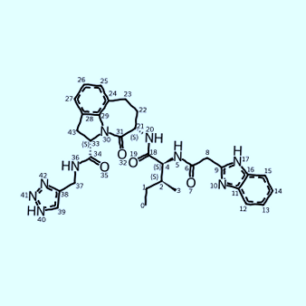 CC[C@H](C)[C@H](NC(=O)Cc1nc2ccccc2[nH]1)C(=O)N[C@H]1CCc2cccc3c2N(C1=O)[C@H](C(=O)NCc1c[nH]nn1)C3